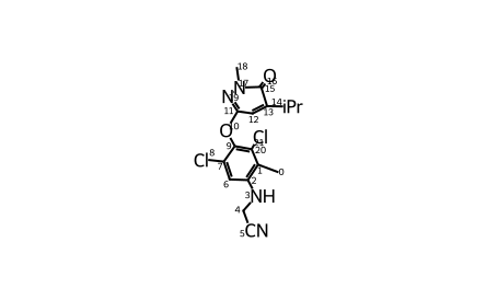 Cc1c(NCC#N)cc(Cl)c(Oc2cc(C(C)C)c(=O)n(C)n2)c1Cl